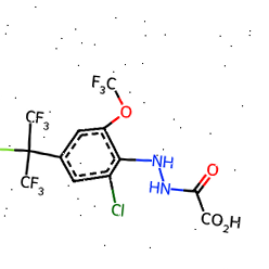 O=C(O)C(=O)NNc1c(Cl)cc(C(F)(C(F)(F)F)C(F)(F)F)cc1OC(F)(F)F